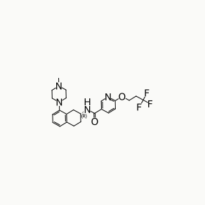 CN1CCN(c2cccc3c2C[C@H](NC(=O)c2ccc(OCCC(F)(F)F)nc2)CC3)CC1